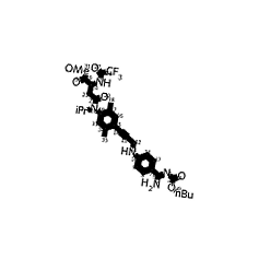 CCCCOC(=O)N=C(N)c1ccc(NCC#Cc2cc(C)c(N(C(=O)CC(NC(=O)C(F)(F)F)C(=O)OC)C(C)C)cc2C)cc1